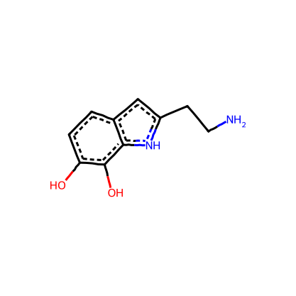 NCCc1cc2ccc(O)c(O)c2[nH]1